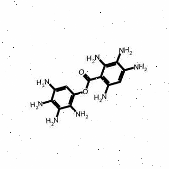 Nc1cc(OC(=O)c2c(N)cc(N)c(N)c2N)c(N)c(N)c1N